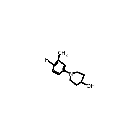 Cc1cc(N2CCC(O)CC2)ccc1F